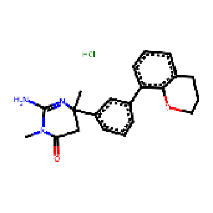 CN1C(=O)CC(C)(c2cccc(-c3cccc4c3OCCC4)c2)N=C1N.Cl